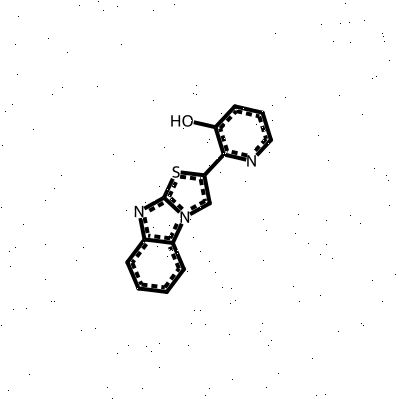 Oc1cccnc1-c1cn2c(nc3ccccc32)s1